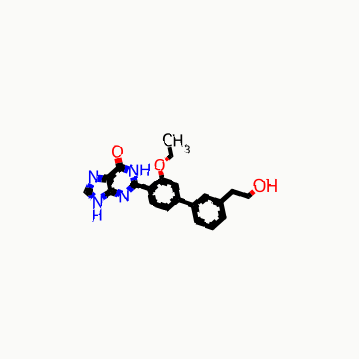 CCOc1cc(-c2cccc(CCO)c2)ccc1-c1nc2[nH]cnc2c(=O)[nH]1